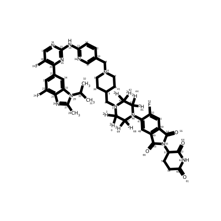 [2H]C1([2H])N(CC2CCN(Cc3ccc(Nc4ncc(F)c(-c5cc(F)c6nc(C)n(C(C)C)c6c5)n4)nc3)CC2)C([2H])([2H])C([2H])([2H])N(c2cc3c(cc2F)C(=O)N(C2CCC(=O)NC2=O)C3=O)C1([2H])[2H]